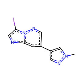 Cn1cc(-c2cnn3c(I)cnc3c2)cn1